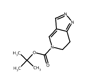 CC(C)(C)OC(=O)N1C=C2C=NN=C2CC1